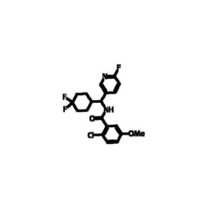 COc1ccc(Cl)c(C(=O)NC(c2ccc(F)nc2)C2CCC(F)(F)CC2)c1